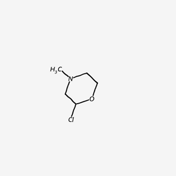 CN1CCOC(Cl)C1